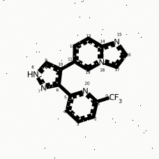 FC(F)(F)c1cccc(-c2n[nH]cc2-c2ccc3nccn3c2)n1